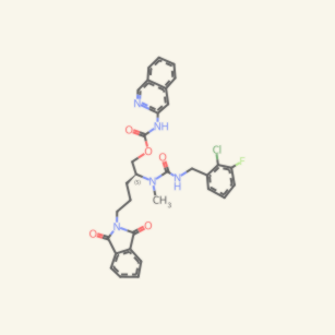 CN(C(=O)NCc1cccc(F)c1Cl)[C@@H](CCCN1C(=O)c2ccccc2C1=O)COC(=O)Nc1cc2ccccc2cn1